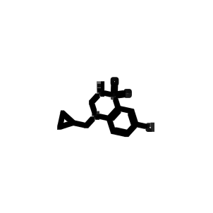 O=S1(=O)NCN(CC2CC2)c2ccc(Cl)cc21